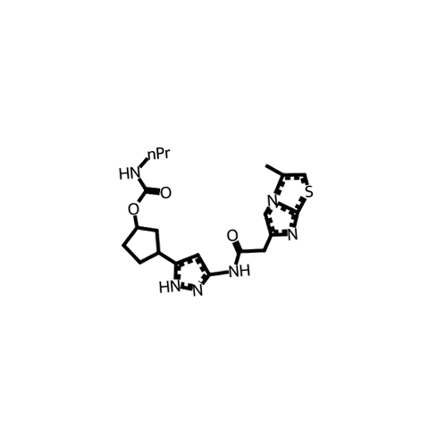 CCCNC(=O)OC1CCC(c2cc(NC(=O)Cc3cn4c(C)csc4n3)n[nH]2)C1